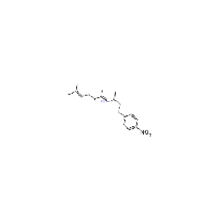 CC(C)=CCC/C(C)=C/C(C)CCc1ccc([N+](=O)[O-])cc1